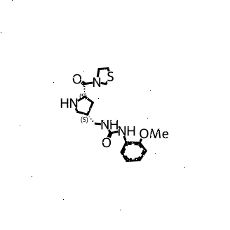 COc1ccccc1NC(=O)NC[C@@H]1CN[C@H](C(=O)N2CCSC2)C1